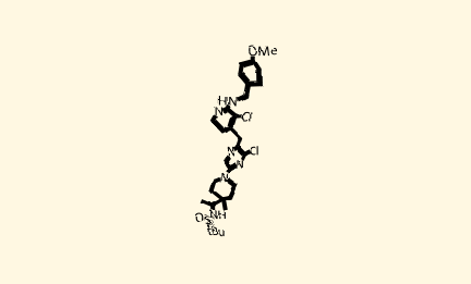 COc1ccc(CNc2nccc(Cc3ncc(N4CCC(C)(C(C)N[S@+]([O-])C(C)(C)C)CC4)nc3Cl)c2Cl)cc1